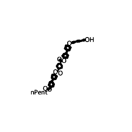 CCCCCC(=O)Oc1ccc(-c2ccc(OC(=O)[C@H]3CC[C@H](C(=O)Oc4ccc(-c5ccc(OC#CC#CC#CO)cc5)cc4)CC3)cc2)cc1